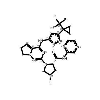 O=C(Nc1cnccn1)[C@@H]1C[C@@H](F)CN1C1=NN2CCC=C2C(Nc2cc(C3(C(F)(F)F)CC3)[nH]n2)=N1